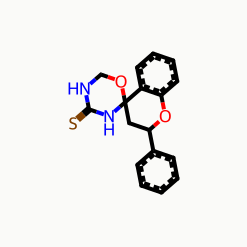 S=C1NCOC2(CC(c3ccccc3)Oc3ccccc32)N1